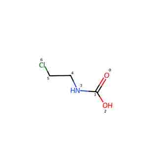 O=C(O)NCCCl